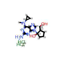 CN(c1nc(N)nc2c1ncn2C1(O)CCCC1CO)C1CC1.Cl.Cl